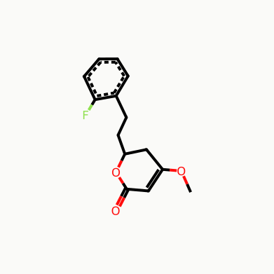 COC1=CC(=O)OC(CCc2ccccc2F)C1